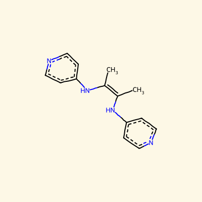 C/C(Nc1ccncc1)=C(\C)Nc1ccncc1